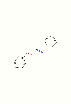 c1ccc(CON=Nc2ccccc2)cc1